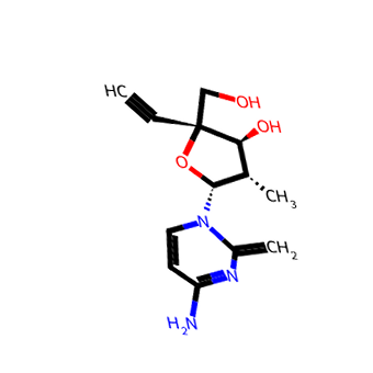 C#C[C@]1(CO)O[C@@H](N2C=CC(N)=NC2=C)[C@@H](C)[C@@H]1O